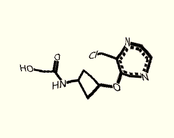 O=C(O)NC1CC(Oc2nccnc2Cl)C1